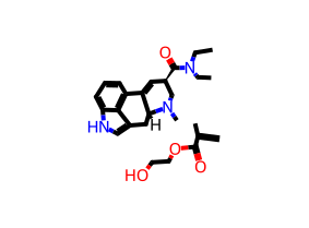 C=C(C)C(=O)OCCO.CCN(CC)C(=O)[C@@H]1C=C2c3cccc4[nH]cc(c34)C[C@H]2N(C)C1